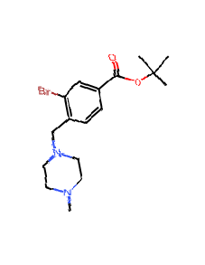 CN1CCN(Cc2ccc(C(=O)OC(C)(C)C)cc2Br)CC1